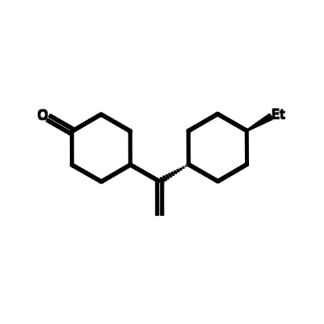 C=C(C1CCC(=O)CC1)[C@H]1CC[C@H](CC)CC1